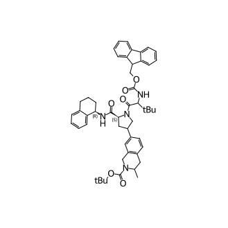 CC1Cc2ccc(C3C[C@@H](C(=O)N[C@@H]4CCCc5ccccc54)N(C(=O)C(NC(=O)OCC4c5ccccc5-c5ccccc54)C(C)(C)C)C3)cc2CN1C(=O)OC(C)(C)C